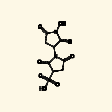 O=C1CC(N2C(=O)CC(S(=O)(=O)O)C2=O)C(=O)N1O